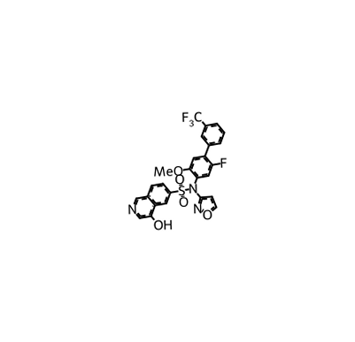 COc1cc(-c2cccc(C(F)(F)F)c2)c(F)cc1N(c1ccon1)S(=O)(=O)c1ccc2cncc(O)c2c1